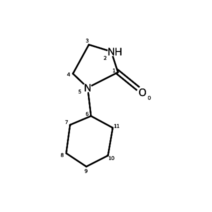 O=C1NCCN1C1CCCCC1